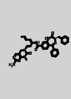 C/C=C/C=C(\C=C\N1Cc2cnc(N)nc2N(C)C1=O)NC(=O)c1ccc2c(c1)NC(=O)[C@H](Cc1ccccc1)N=C2c1ccccc1